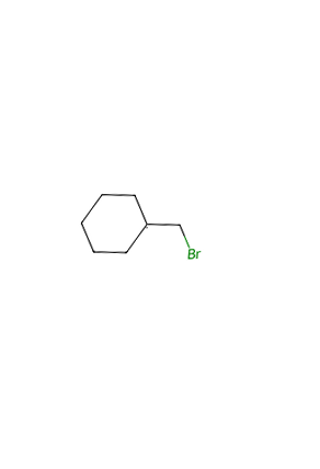 BrC[C]1CCCCC1